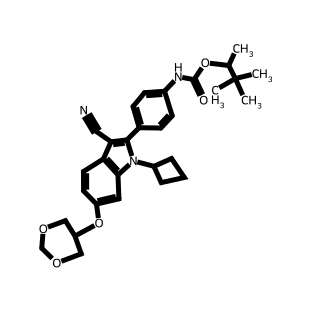 CC(OC(=O)Nc1ccc(-c2c(C#N)c3ccc(OC4COCOC4)cc3n2C2CCC2)cc1)C(C)(C)C